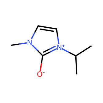 CC(C)[n+]1ccn(C)c1[O-]